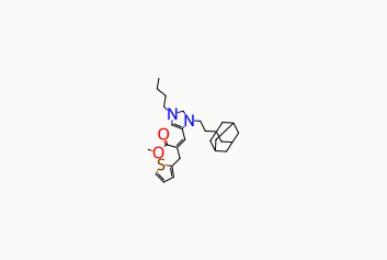 CCCCN1C=C(C=C(Cc2cccs2)C(=O)OC)N(CCC23CC4CC(CC(C4)C2)C3)C1